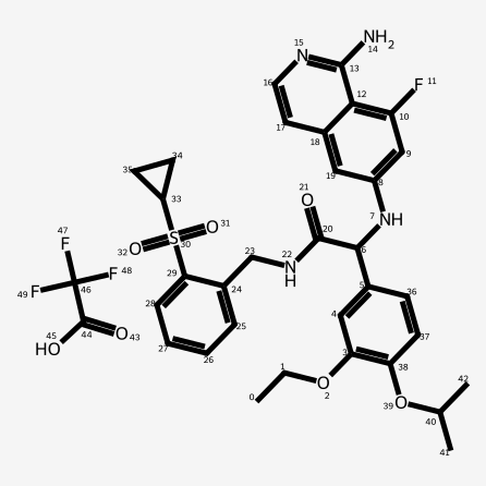 CCOc1cc(C(Nc2cc(F)c3c(N)nccc3c2)C(=O)NCc2ccccc2S(=O)(=O)C2CC2)ccc1OC(C)C.O=C(O)C(F)(F)F